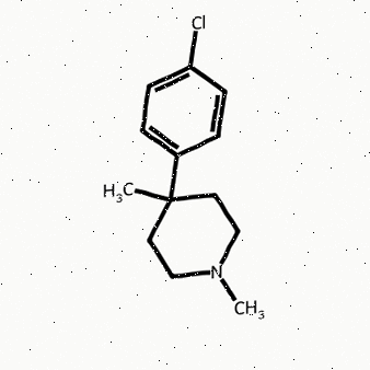 CN1CCC(C)(c2ccc(Cl)cc2)CC1